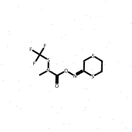 CN(SC(F)(F)F)C(=O)ON=C1CSCCS1